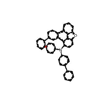 c1ccc(-c2ccc(N(c3ccccc3)c3ccc4oc5cccc6c7ccc(-c8ccccc8)cc7c3c4c56)cc2)cc1